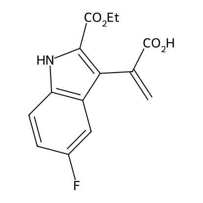 C=C(C(=O)O)c1c(C(=O)OCC)[nH]c2ccc(F)cc12